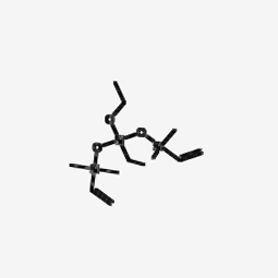 C=C[Si](C)(C)O[Si](CC)(OCC)O[Si](C)(C)C=C